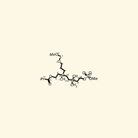 COSOCCC[N+](C)(CCOC(=O)C(C)C)CC[N+](C)(C)CCOS(=O)(=O)OC